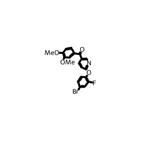 COc1ccc(C(=O)c2ccc(Oc3ccc(Br)cc3F)nc2)cc1OC